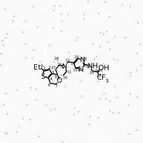 CCc1cc2c(s1)CCO[C@@]21CCN(Cc2cnc(NCC(O)C(F)(F)F)nc2)[C@@H](C)C1